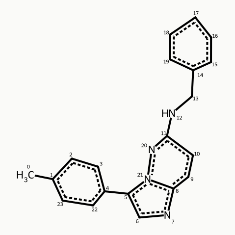 Cc1ccc(-c2cnc3ccc(NCc4ccccc4)nn23)cc1